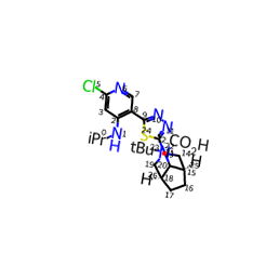 CC(C)Nc1cc(Cl)ncc1-c1nnc(N2C[C@H]3CC[C@@H](C2)C3N(C(=O)O)C(C)(C)C)s1